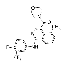 Cc1cccc2c(Nc3ccc(F)c(C(F)(F)F)c3)ncc(C(=O)N3CCOCC3)c12